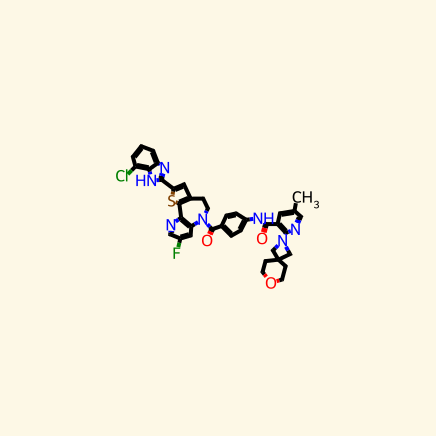 Cc1cnc(N2CC3(CCOCC3)C2)c(C(=O)Nc2ccc(C(=O)N3CCc4cc(-c5nc6cccc(Cl)c6[nH]5)sc4-c4ncc(F)cc43)cc2)c1